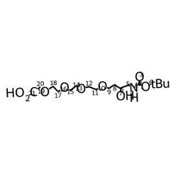 CC(C)(C)OC(=O)NCC(O)CCOCCOCCOCCOCC(=O)O